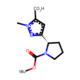 Cn1nc([C@@H]2CCCN2C(=O)OC(C)(C)C)cc1C(=O)O